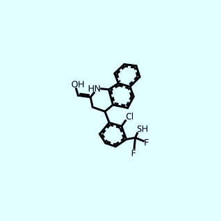 O/C=C1/CC(c2cccc(C(F)(F)S)c2Cl)c2ccc3ccccc3c2N1